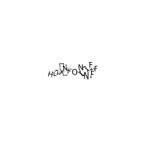 OC[C@@]12CCCN1[C@H](COc1cnc(C(F)(F)F)cn1)CC2